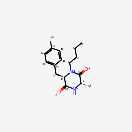 CCCCN1C(=O)[C@H](C)NC(=O)[C@H]1Cc1ccc(I)cc1